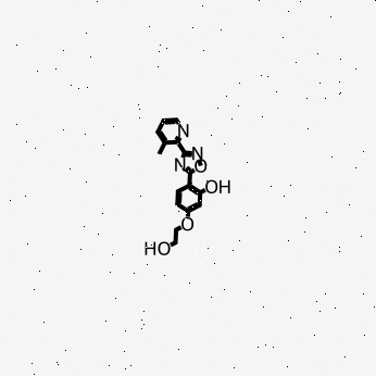 Cc1cccnc1-c1noc(-c2ccc(OCCO)cc2O)n1